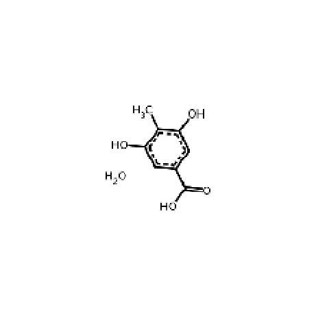 Cc1c(O)cc(C(=O)O)cc1O.O